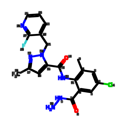 Cc1cc(Cl)cc(C(=O)NN)c1NC(=O)c1cc(C(F)(F)F)nn1Cc1cccnc1F